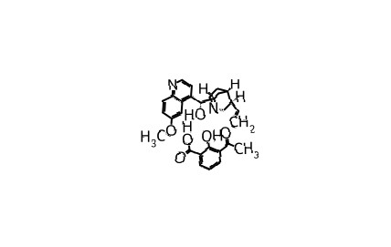 C=C[C@H]1C[N@]2CC[C@H]1C[C@H]2[C@H](O)c1ccnc2ccc(OC)cc12.CC(=O)c1cccc(C(=O)O)c1O